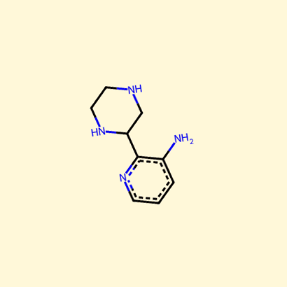 Nc1cccnc1C1CNCCN1